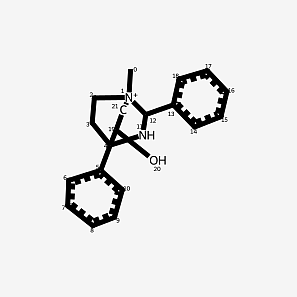 C[N+]12CCC(c3ccccc3)(NC1c1ccccc1)C(O)C2